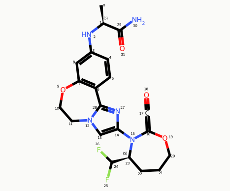 C[C@H](Nc1ccc2c(c1)OCCn1cc(N3C(=C=O)OCCC[C@H]3C(F)F)nc1-2)C(N)=O